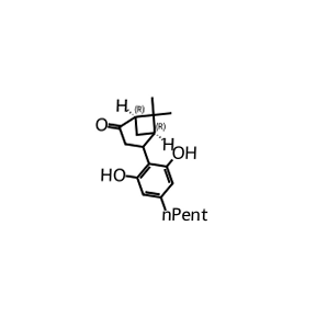 CC1(C)[C@@H]2C[C@H]1C(=O)CC2c1c(O)cc(CCCC[13CH3])cc1O